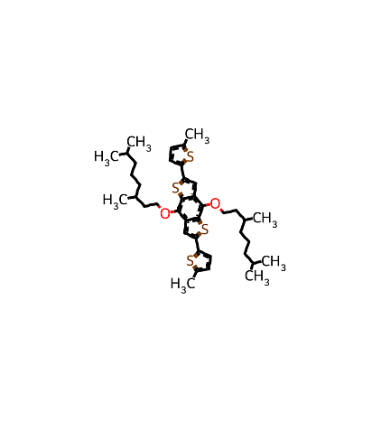 Cc1ccc(-c2cc3c(OCCC(C)CCCC(C)C)c4sc(-c5ccc(C)s5)cc4c(OCCC(C)CCCC(C)C)c3s2)s1